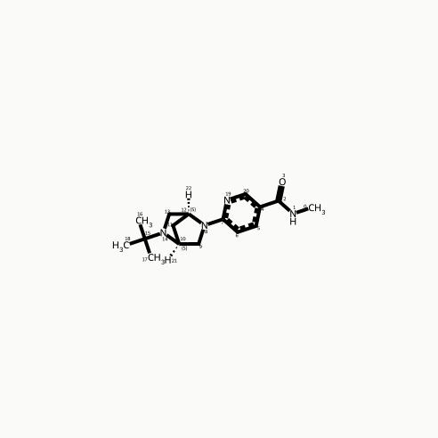 CNC(=O)c1ccc(N2C[C@@H]3C[C@H]2CN3C(C)(C)C)nc1